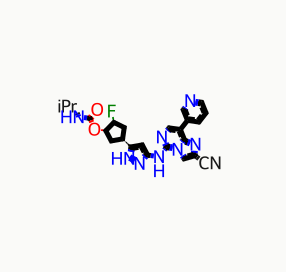 CC(C)NC(=O)O[C@H]1C[C@@H](c2cc(Nc3ncc(-c4cccnc4)c4nc(C#N)cn34)n[nH]2)C[C@H]1F